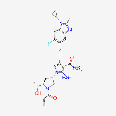 C=CC(=O)N1C[C@@H](n2nc(C#Cc3cc4nc(C)n(C5CC5)c4cc3F)c(C(N)=O)c2NC)C[C@@H]1[C@@H](C)O